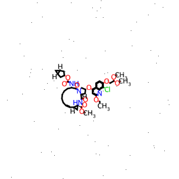 CCOc1cc(O[C@@H]2C[C@H]3C(=O)N[C@]4(C(=O)OC)C[C@H]4/C=C\CCCCC[C@H](NC(=O)O[C@@H]4C[C@@H]5C[C@@H]5C4)C(=O)N3C2)c2ccc(OCC(OC)OC)c(Cl)c2n1